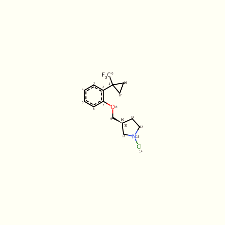 FC(F)(F)C1(c2ccccc2OC[C@H]2CCN(Cl)C2)CC1